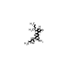 C=CCCN(C)Cc1c[nH]c(=O)cc1-c1cnc2c(NC(CO)CCCC)nc(N)nc2c1